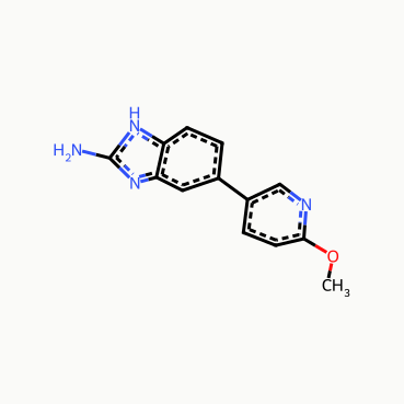 COc1ccc(-c2ccc3[nH]c(N)nc3c2)cn1